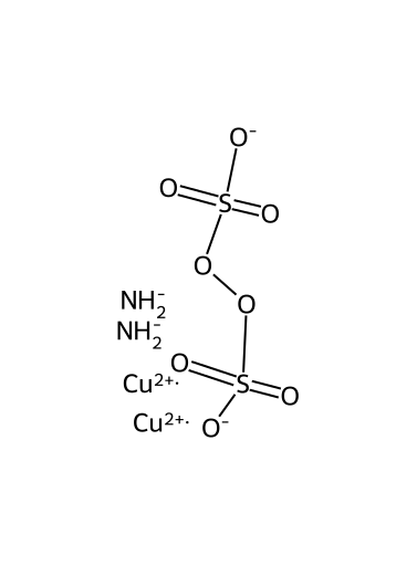 O=S(=O)([O-])OOS(=O)(=O)[O-].[Cu+2].[Cu+2].[NH2-].[NH2-]